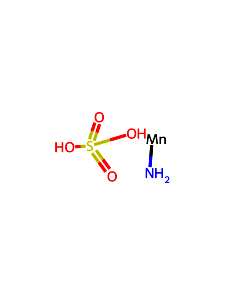 O=S(=O)(O)O.[NH2][Mn]